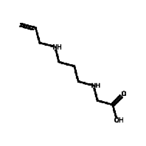 C=CCNCCCNCC(=O)O